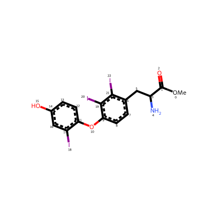 COC(=O)C(N)Cc1ccc(Oc2ccc(O)cc2I)c(I)c1I